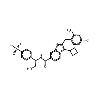 CCS(=O)(=O)c1ccc([C@H](CO)NC(=O)c2ccn3c(C4CCC4)c(Cc4ccc(Cl)cc4C(F)(F)F)nc3c2)cc1